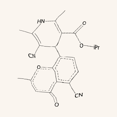 [C-]#[N+]C1=C(C)NC(C)=C(C(=O)OC(C)C)C1c1ccc(C#N)c2c(=O)cc(C)oc12